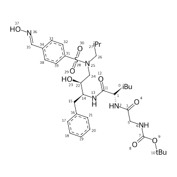 CC[C@H](C)[C@H](NC(=O)CNC(=O)OC(C)(C)C)C(=O)N[C@@H](Cc1ccccc1)[C@@H](O)CN(CC(C)C)S(=O)(=O)c1ccc(C=NO)cc1